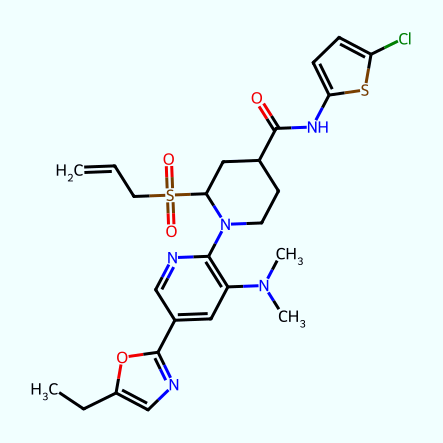 C=CCS(=O)(=O)C1CC(C(=O)Nc2ccc(Cl)s2)CCN1c1ncc(-c2ncc(CC)o2)cc1N(C)C